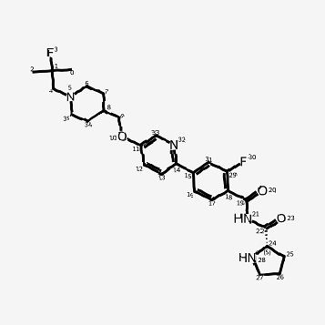 CC(C)(F)CN1CCC(COc2ccc(-c3ccc(C(=O)NC(=O)[C@@H]4CCCN4)c(F)c3)nc2)CC1